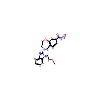 COCCn1c(N2CCOc3cc(C(=O)NO)ccc3C2)nc2ccccc21